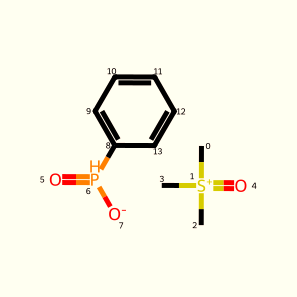 C[S+](C)(C)=O.O=[PH]([O-])c1ccccc1